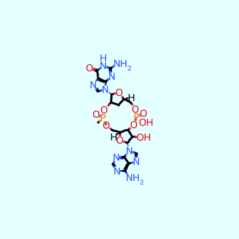 CP1(=O)OC[C@H]2O[C@@H](n3cnc4c(N)ncnc43)C(O)C2OP(=O)(O)OC[C@@H]2CC(O1)[C@H](n1cnc3c(=O)[nH]c(N)nc31)O2